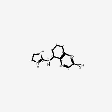 Oc1cnc2c(n1)CCCC2NC1=NCCS1